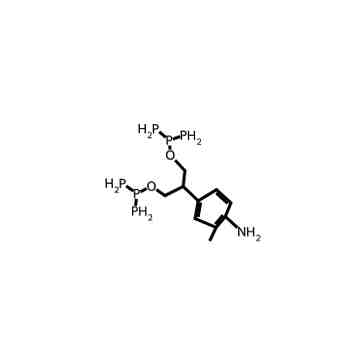 Cc1cc(C(COP(P)P)COP(P)P)ccc1N